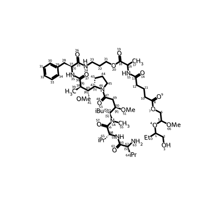 CCC(CO)OC(COC(=O)CCCC(=O)NC(C)C(=O)OCCCNC(=O)[C@H](Cc1ccccc1)NC(=O)[C@H](C)[C@@H](OC)[C@@H]1CCCN1C(=O)C[C@@H](OC)[C@H]([C@@H](C)CC)N(C)C(=O)[C@H](NC(=O)[C@@H](N)C(C)C)C(C)C)OC